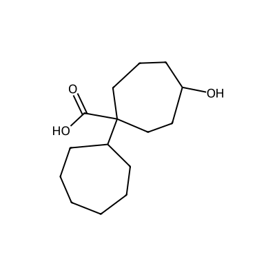 O=C(O)C1(C2CCCCCC2)CCCC(O)CC1